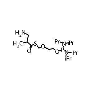 CC(CN)C(=O)SCOCCOP(N(C(C)C)C(C)C)N(C(C)C)C(C)C